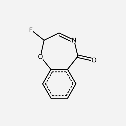 O=C1N=CC(F)Oc2ccccc21